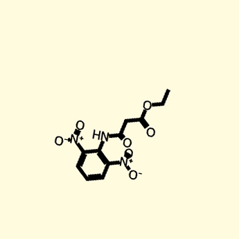 CCOC(=O)CC(=O)Nc1c([N+](=O)[O-])cccc1[N+](=O)[O-]